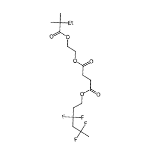 CCC(C)(C)C(=O)OCCOC(=O)CCC(=O)OCCC(F)(F)CC(C)(F)F